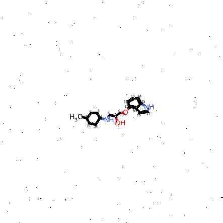 CC1CCC(NCC(O)COc2cccc3[nH]ccc23)CC1